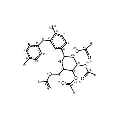 CC(=O)OC[C@H]1O[C@@H](c2ccc(Cl)c(Cc3ccc(C)cc3)c2)[C@H](OC(C)=O)[C@@H](OC(C)=O)C1OC(C)=O